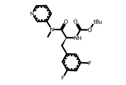 CN(C(=O)[C@H](Cc1cc(F)cc(F)c1)NC(=O)OC(C)(C)C)c1cccnc1